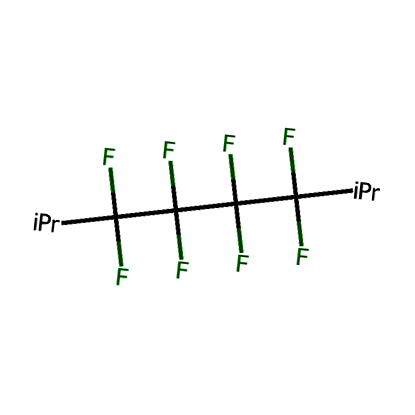 CC(C)C(F)(F)C(F)(F)C(F)(F)C(F)(F)C(C)C